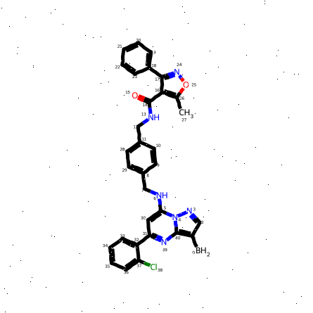 Bc1cnn2c(NCc3ccc(CNC(=O)c4c(-c5ccccc5)noc4C)cc3)cc(-c3ccccc3Cl)nc12